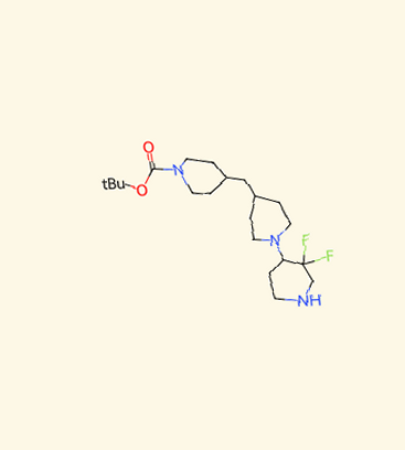 CC(C)(C)OC(=O)N1CCC(CC2CCN(C3CCNCC3(F)F)CC2)CC1